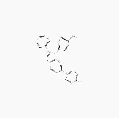 CC(=O)OCc1ccc(-n2c(-c3cncnc3)nc3ccc(-c4ccc(F)cn4)nc32)cc1